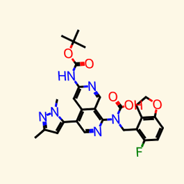 Cc1cc(-c2cnc(N(Cc3c(F)ccc4c3CCO4)C(=O)O)c3cnc(NC(=O)OC(C)(C)C)cc23)n(C)n1